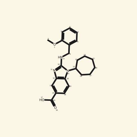 COc1ccccc1CNc1nc2cc(C(=O)O)ccc2n1C1CCCCCC1